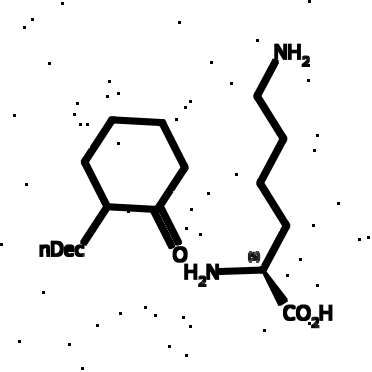 CCCCCCCCCCC1CCCCC1=O.NCCCC[C@H](N)C(=O)O